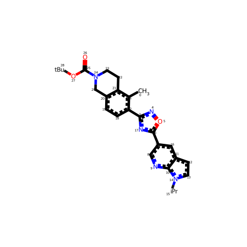 Cc1c(-c2noc(-c3cnc4c(ccn4C(C)C)c3)n2)ccc2c1CCN(C(=O)OC(C)(C)C)C2